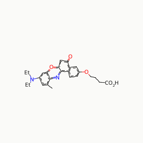 CCN(CC)c1cc(C)c2nc3c4ccc(OCCCC(=O)O)cc4c(=O)cc-3oc2c1